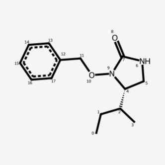 CCC(C)[C@H]1CNC(=O)N1OCc1ccccc1